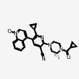 C[C@@H]1CN(c2nc(C3CC3)c(-c3cc[n+]([O-])c4ccccc34)cc2C#N)CCN1C(=O)C1CC1